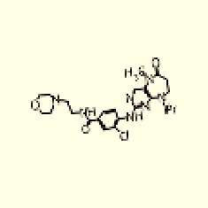 CC(C)N1CCC(=O)N(C)c2cnc(Nc3ccc(C(=O)NCCN4CCOCC4)cc3Cl)nc21